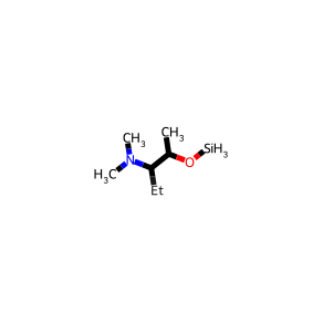 CCC(C(C)O[SiH3])N(C)C